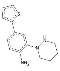 Nc1ccc(-c2cccs2)cc1N1CCCCN1